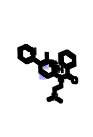 CC/C(C)=C(\C=C/C(=N)N(CCN(C)C)C(=O)c1ccccc1)c1ccccn1